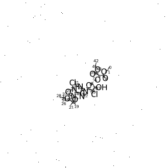 CCOC(=O)C(OC[C@H]1O[C@@H](n2cnc3c(N(OC(C)(C)C)C(=O)OC(C)(C)C)nc(Cl)nc32)[C@@H](Cl)[C@@H]1O)C(=O)OCC